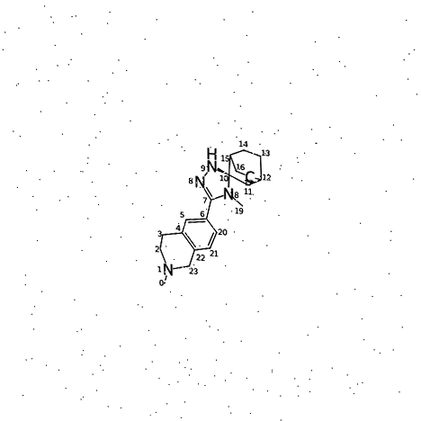 CN1CCc2cc(C3=NN[C@@]4(CC5CCC4CC5)N3C)ccc2C1